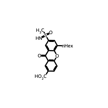 CCCCCCc1cc(S(C)(=N)=O)cc2c(=O)c3cc(C(=O)O)ccc3oc12